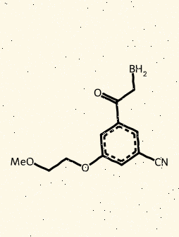 BCC(=O)c1cc(C#N)cc(OCCOC)c1